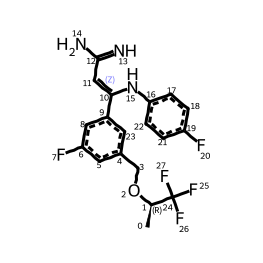 C[C@@H](OCc1cc(F)cc(/C(=C/C(=N)N)Nc2ccc(F)cc2)c1)C(F)(F)F